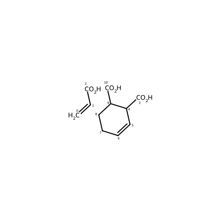 C=CC(=O)O.O=C(O)C1C=CCCC1C(=O)O